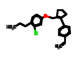 C=Cc1ccc(C2=C(COc3ccc(CCC(=O)O)c(Cl)c3)CCC2)cc1